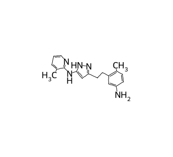 Cc1ccc(N)cc1CCc1cc(Nc2ncccc2C)[nH]n1